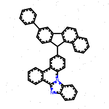 c1ccc(-c2ccc3c(c2)-c2ccc4ccccc4c2C3c2ccc3c(c2)c2ccccc2c2nc4ccccc4n32)cc1